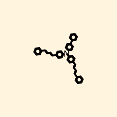 C(C=Cc1ccc(N(c2ccc(C=CC=Cc3ccccc3)cc2)c2ccc(-c3ccccc3)cc2)cc1)=Cc1ccccc1